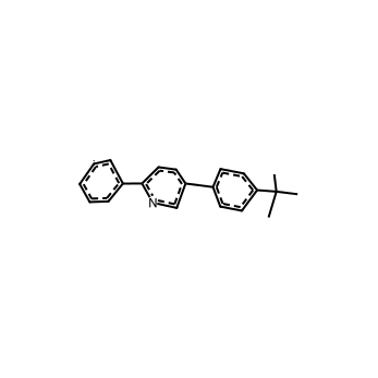 CC(C)(C)c1ccc(-c2ccc(-c3c[c]ccc3)nc2)cc1